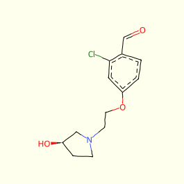 O=Cc1ccc(OCCN2CC[C@@H](O)C2)cc1Cl